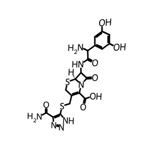 NC(=O)c1nn[nH]c1SCC1=C(C(=O)O)N2C(=O)C(NC(=O)C(N)c3cc(O)cc(O)c3)[C@@H]2SC1